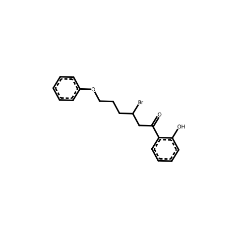 O=C(CC(Br)CCCOc1ccccc1)c1ccccc1O